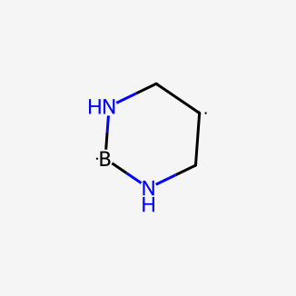 [B]1NC[CH]CN1